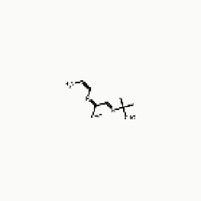 CC(C)(C=O)/N=C/C(C=O)=N\C=C/N